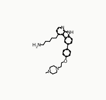 CN1CCN(CCOc2ccc(-c3ccc4[nH]c5nccc(CCCCCN)c5c4c3)cc2)CC1